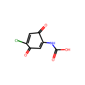 O=C(O)NC1=CC(=O)C(Cl)=CC1=O